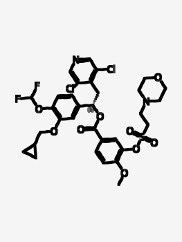 COc1ccc(C(=O)O[C@@H](Cc2c(Cl)cncc2Cl)c2ccc(OC(F)F)c(OCC3CC3)c2)cc1OS(=O)(=O)CCN1CCOCC1